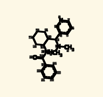 CN(C)C(c1cccnc1)C1CCCCC1NC(=O)c1ccccc1